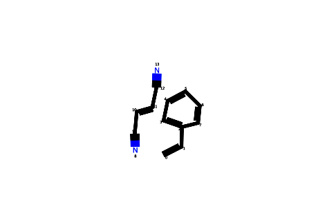 C=Cc1ccccc1.N#CC=CC#N